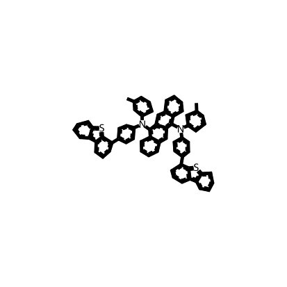 Cc1cccc(N(c2ccc(-c3cccc4c3sc3ccccc34)cc2)c2c3ccccc3cc3c(N(c4ccc(-c5cccc6c5sc5ccccc56)cc4)c4cccc(C)c4)c4ccccc4cc23)c1